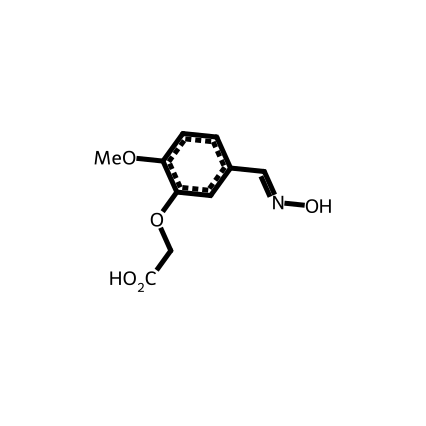 COc1ccc(/C=N/O)cc1OCC(=O)O